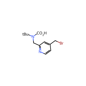 CC(C)(C)N(Cc1cc(CBr)ccn1)C(=O)O